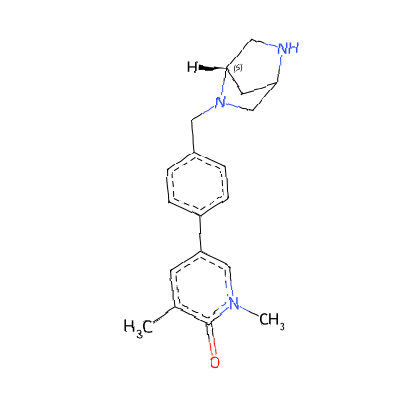 Cc1cc(-c2ccc(CN3CC4C[C@H]3CN4)cc2)cn(C)c1=O